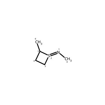 C/N=S1\CCC1C